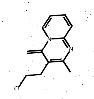 C=C1C(CCCl)=C(C)N=C2C=CC=CN12